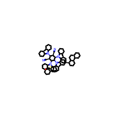 N#Cc1c(-n2c3ccccc3c3ccccc32)c(C#N)c(-n2c3ccccc3c3ccccc32)c(-n2c3ccc(-c4cccc5c4ccc4ccccc45)cc3c3ccc4c5ccccc5sc4c32)c1-n1c2ccccc2c2ccccc21